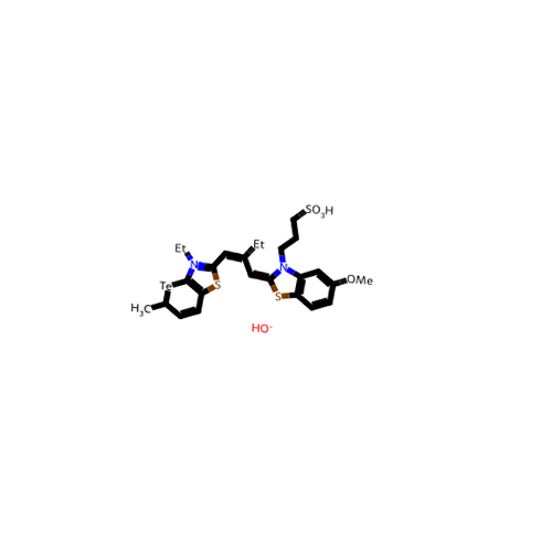 CCC(=Cc1sc2c([n+]1CC)[Te]C(C)C=C2)C=C1Sc2ccc(OC)cc2N1CCCS(=O)(=O)O.[OH-]